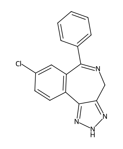 Clc1ccc2c(c1)C(c1ccccc1)=NCc1n[nH]nc1-2